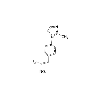 C/C(=C\c1ccc(-n2ccnc2C)cc1)[N+](=O)[O-]